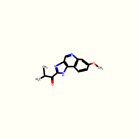 COc1ccc2c(c1)ncc1nc(C(=O)C(C)C)[nH]c12